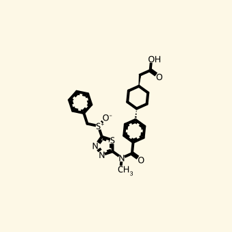 CN(C(=O)c1ccc([C@H]2CC[C@H](CC(=O)O)CC2)cc1)c1nnc([S+]([O-])Cc2ccccc2)s1